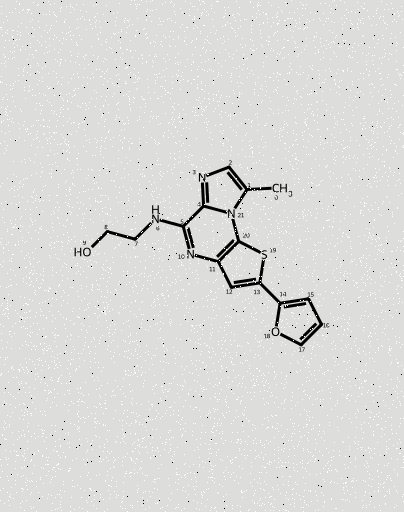 Cc1cnc2c(NCCO)nc3cc(-c4ccco4)sc3n12